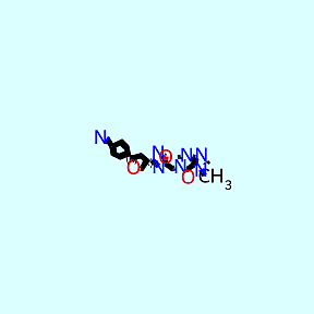 Cn1cnc2ncn(Cc3nc([C@@H]4CO[C@@H](c5ccc(C#N)cc5)C4)no3)c(=O)c21